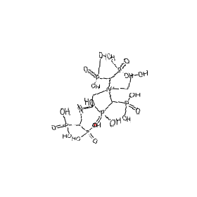 O=P(O)(O)C([N]CC[N+](CCO)(C(P(=O)(O)O)P(=O)(O)O)C(P(=O)(O)O)P(=O)(O)O)P(=O)(O)O